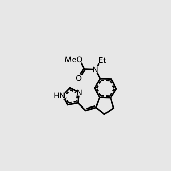 CCN(C(=O)OC)c1ccc2c(c1)/C(=C\c1c[nH]cn1)CC2